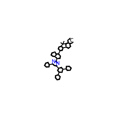 CC1(C)c2ccc(-c3ccc(-c4nc(-c5ccccc5)cc(-c5cc(-c6ccccc6)cc(-c6ccccc6)c5)n4)c4ccccc34)cc2-c2ccc3ccccc3c21